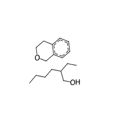 CCCCC(CC)CO.c1ccc2c(c1)CCOC2